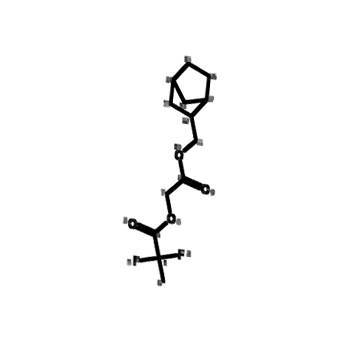 CC(F)(F)C(=O)OCC(=O)OCC1CC2CCC1C2